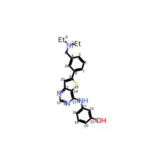 CCN(CC)Cc1cccc(-c2cc3ncnc(Nc4cccc(O)c4)c3s2)c1